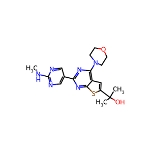 CNc1ncc(-c2nc(N3CCOCC3)c3cc(C(C)(C)O)sc3n2)cn1